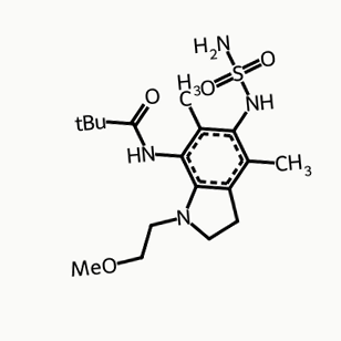 COCCN1CCc2c(C)c(NS(N)(=O)=O)c(C)c(NC(=O)C(C)(C)C)c21